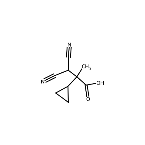 CC(C(=O)O)(C(C#N)C#N)C1CC1